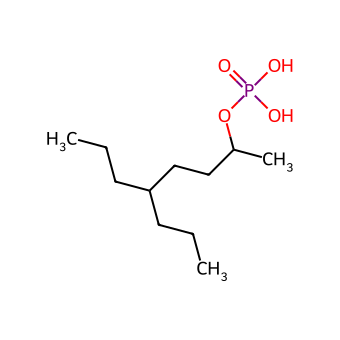 CCCC(CCC)CCC(C)OP(=O)(O)O